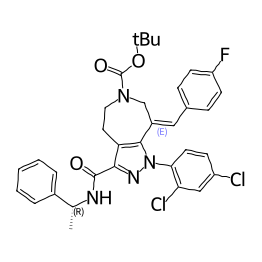 C[C@@H](NC(=O)c1nn(-c2ccc(Cl)cc2Cl)c2c1CCN(C(=O)OC(C)(C)C)C/C2=C\c1ccc(F)cc1)c1ccccc1